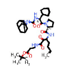 C=CCCC(NC(=O)[C@@H]1CCCN1C(=O)[C@@H](NC(=O)NC12CC3CC(CC(C3)C1)C2)C1CCCCC1)C(=O)C(=O)NCCC(=O)OC(C)(C)C